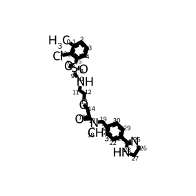 Cc1cccc(S(=O)(=O)CNCCOCC(=O)N(C)Cc2ccc(C3=NCCN3)cc2)c1Cl